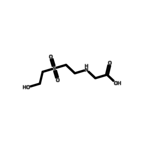 O=C(O)CNCCS(=O)(=O)CCO